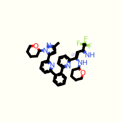 Cc1cc(-c2cccc(-c3ccccc3-c3cccc(/C(=C/C(=N)C(F)(F)F)NC4CCCCO4)n3)n2)n(C2CCCCO2)n1